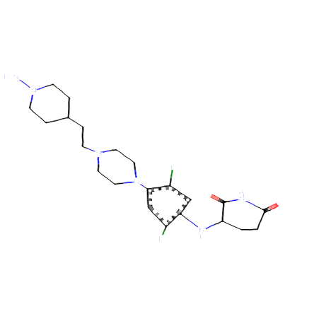 NN1CCC(CCN2CCN(c3cc(F)c(NC4CCC(=O)NC4=O)cc3F)CC2)CC1